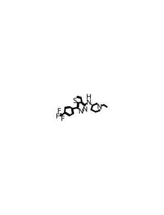 CCN1CCC[C@@H](Nc2nnc(-c3ccc(C(F)(F)F)cc3)c3sccc23)C1